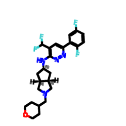 Fc1ccc(F)c(-c2cc(C(F)F)c(N[C@H]3C[C@@H]4CN(CC5CCOCC5)C[C@@H]4C3)nn2)c1